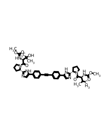 COC(=O)N[C@H](C(=O)N1CCC[C@H]1c1ncc(-c2ccc(C#Cc3ccc(-c4cnc([C@@H]5CCCN5C(=O)[C@@H](NC(=O)OC)C(C)(C)O)[nH]4)cc3)cc2)[nH]1)C(C)C